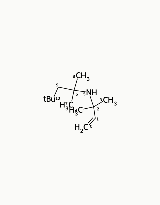 C=CC(C)(C)NC(C)(C)CC(C)(C)C